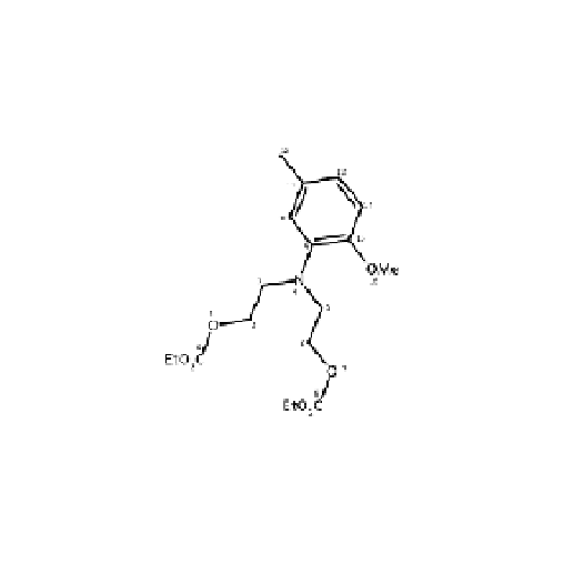 CCOC(=O)OCCN(CCOC(=O)OCC)c1cc(C)ccc1OC